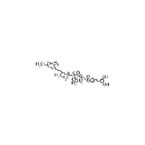 C/C=C/C(C)=C/C=C/C(C)=C/C=C/C=C(C)/C=C/C=C(C)/C=C/C1=C(C)C(=O)C(OC(=O)CCC(=O)Oc2ccc(/C=C/c3cc(O)cc(O)c3)cc2)CC1(C)C